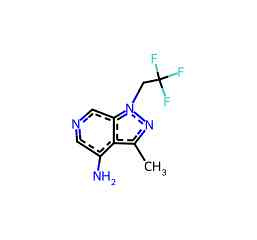 Cc1nn(CC(F)(F)F)c2cncc(N)c12